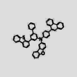 c1ccc(-c2cc(-c3cccc4c3sc3ccccc34)cc(N(c3ccc(-c4cc5ccccc5c5ccccc45)cc3)c3ccc4oc5ccccc5c4c3)c2)cc1